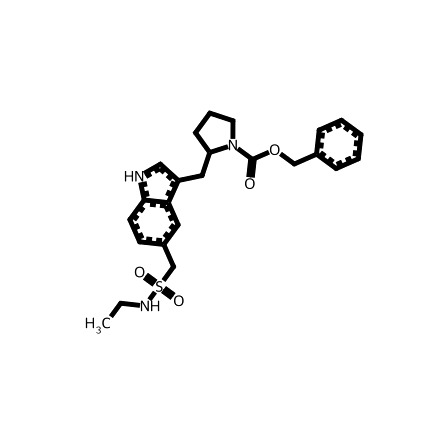 CCNS(=O)(=O)Cc1ccc2[nH]cc(CC3CCCN3C(=O)OCc3ccccc3)c2c1